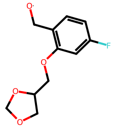 [O]Cc1ccc(F)cc1OCC1COCO1